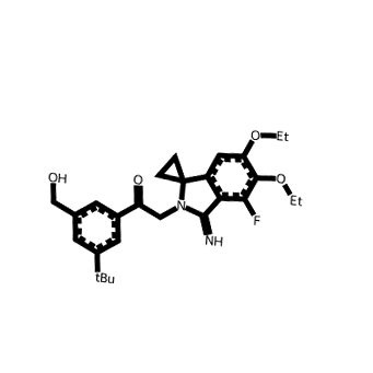 CCOc1cc2c(c(F)c1OCC)C(=N)N(CC(=O)c1cc(CO)cc(C(C)(C)C)c1)C21CC1